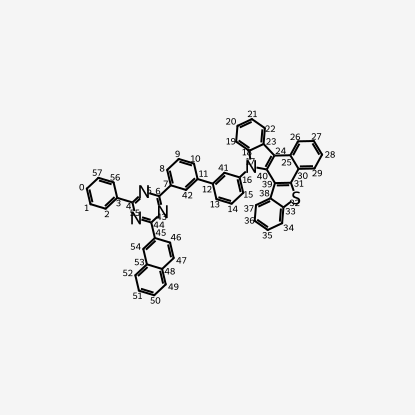 c1ccc(-c2nc(-c3cccc(-c4cccc(-n5c6ccccc6c6c7ccccc7c7sc8ccccc8c7c65)c4)c3)nc(-c3ccc4ccccc4c3)n2)cc1